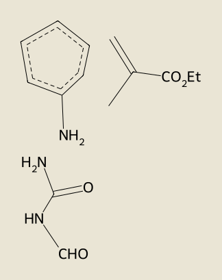 C=C(C)C(=O)OCC.NC(=O)NC=O.Nc1ccccc1